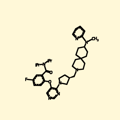 CC(C)N(C(=O)c1cc(F)ccc1Oc1cncnc1N1CC[C@@H](CN2CCC3(CCC(N(C)c4ccccn4)CC3)CC2)C1)C(C)C